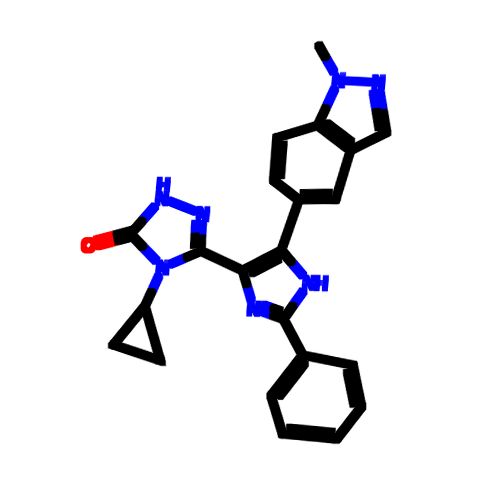 Cn1ncc2cc(-c3[nH]c(-c4ccccc4)nc3-c3n[nH]c(=O)n3C3CC3)ccc21